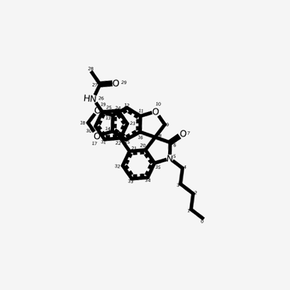 CCCCCN1C(=O)C2(COc3cc4c(cc32)OCO4)c2c(-c3ccc(NC(C)=O)cc3)cccc21